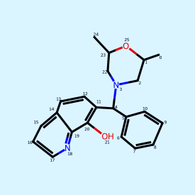 CC1CN(C(c2ccccc2)c2ccc3cccnc3c2O)CC(C)O1